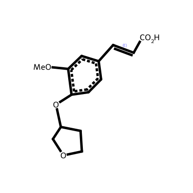 COc1cc(/C=C/C(=O)O)ccc1OC1CCOC1